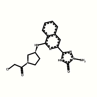 Nn1nc(-c2cc3ccccc3c(N[C@H]3CCN(C(=O)CCl)C3)n2)[nH]c1=O